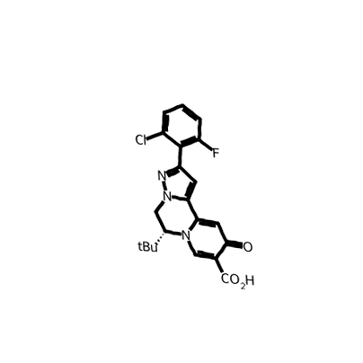 CC(C)(C)[C@@H]1Cn2nc(-c3c(F)cccc3Cl)cc2-c2cc(=O)c(C(=O)O)cn21